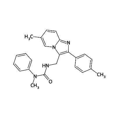 Cc1ccc(-c2nc3ccc(C)cn3c2CNC(=O)N(C)c2ccccc2)cc1